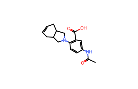 CC(=O)Nc1ccc(N2CC3CC=CCC3C2)c(C(=O)O)c1